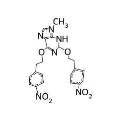 Cn1cnc2c1NC(OCCc1ccc([N+](=O)[O-])cc1)N=C2OCCc1ccc([N+](=O)[O-])cc1